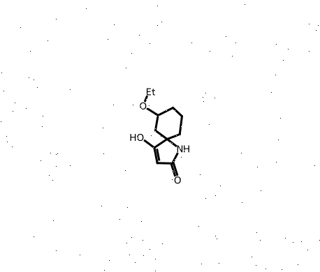 CCOC1CCCC2(C1)NC(=O)C=C2O